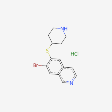 Brc1cc2cnccc2cc1SC1CCNCC1.Cl